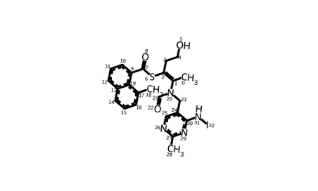 C/C(=C(\CCO)SC(=O)c1cccc2cccc(C)c12)N(C=O)Cc1cnc(C)nc1NI